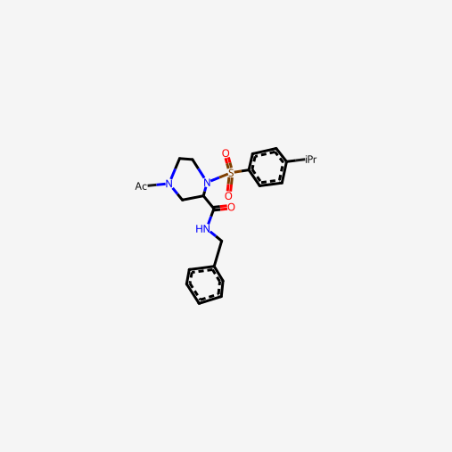 CC(=O)N1CCN(S(=O)(=O)c2ccc(C(C)C)cc2)C(C(=O)NCc2ccccc2)C1